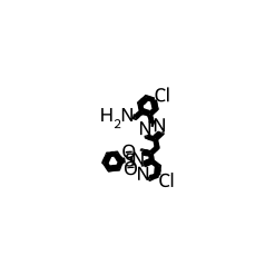 NCc1ccc(Cl)cc1-c1ncc(Cc2cn(S(=O)(=O)c3ccccc3)c3ncc(Cl)cc23)cn1